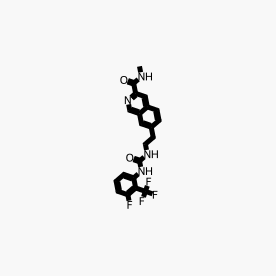 CNC(=O)c1cc2ccc(CCNC(=O)Nc3cccc(F)c3C(F)(F)F)cc2cn1